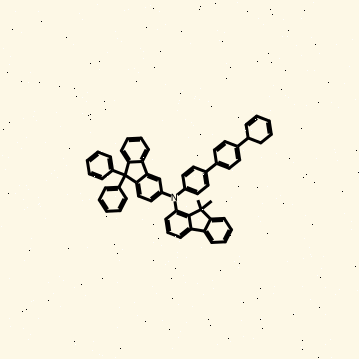 CC1(C)c2ccccc2-c2cccc(N(c3ccc(-c4ccc(C5C=CC=CC5)cc4)cc3)c3ccc4c(c3)-c3ccccc3C4(c3ccccc3)c3ccccc3)c21